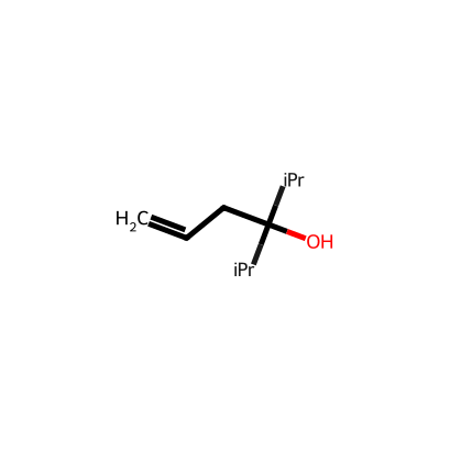 C=CCC(O)(C(C)C)C(C)C